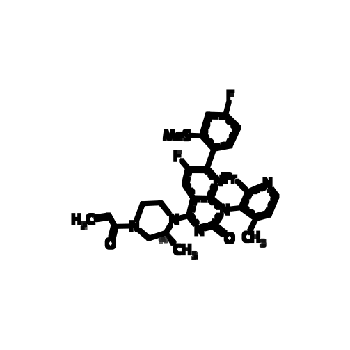 C=CC(=O)N1CCN(c2nc(=O)n(-c3c(C)ccnc3C(C)C)c3nc(-c4ccc(F)cc4SC)c(F)cc23)[C@@H](C)C1